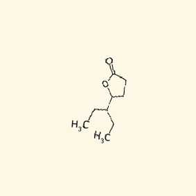 CCC(CC)C1CCC(=O)O1